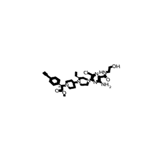 C#Cc1ccc([C@H](C(=O)OC)N2CCC(N3CCN(c4nc(N)c(C(=O)NCCO)nc4Cl)C[C@@H]3CC)CC2)cc1